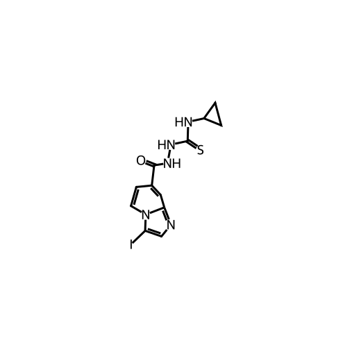 O=C(NNC(=S)NC1CC1)c1ccn2c(I)cnc2c1